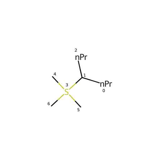 CCCC(CCC)S(C)(C)C